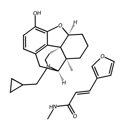 CNC(=O)/C=C/c1ccoc1.C[C@@]12CCC[C@@H]3Oc4c(O)ccc5c4[C@@]31CCN(CC1CC1)[C@@H]2C5